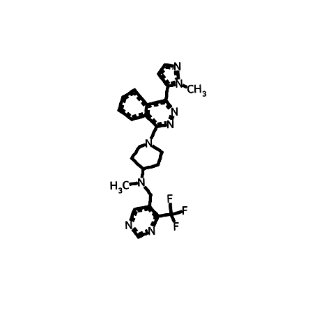 CN(Cc1cncnc1C(F)(F)F)C1CCN(c2nnc(-c3ccnn3C)c3ccccc23)CC1